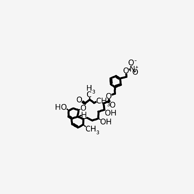 CC[C@H](C)C(=O)O[C@H]1C[C@H](O)C=C2C=C[C@H](C)[C@H](CC[C@@H](O)C[C@@H](O)CC(=O)OCc3cccc(CO[N+](=O)[O-])c3)[C@H]21